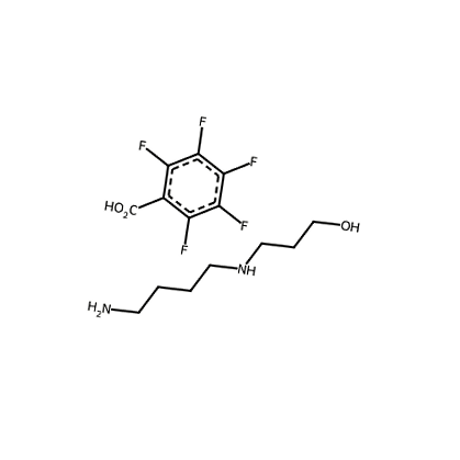 NCCCCNCCCO.O=C(O)c1c(F)c(F)c(F)c(F)c1F